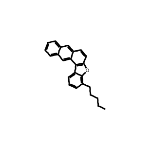 CCCCCc1cccc2c1oc1ccc3cc4ccccc4cc3c12